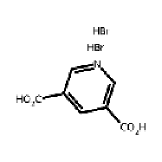 Br.Br.O=C(O)c1cncc(C(=O)O)c1